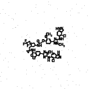 COc1cc(-c2nc(Nc3ccc4[nH]ncc4c3Cl)n(C)n2)ccc1OCC(=O)NC1CC(CC2(NC(=O)c3ccc(-c4nc(Nc5ccc6[nH]ncc6c5Cl)n(C)n4)cc3Cl)CC2)N(CC(F)(F)F)C1